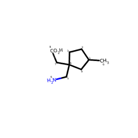 CC1CCC(CN)(CC(=O)O)C1